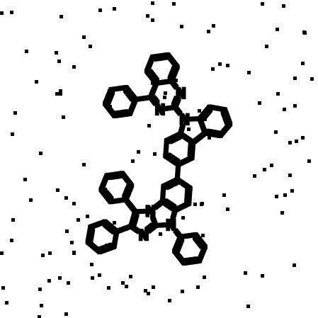 c1ccc(-c2nc3n(-c4ccccc4)c4ccc(-c5ccc6c(c5)c5ccccc5n6-c5nc(-c6ccccc6)c6ccccc6n5)cc4n3c2-c2ccccc2)cc1